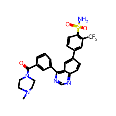 CN1CCN(C(=O)c2cccc(-c3ncnc4ccc(-c5ccc(S(N)(=O)=O)c(C(F)(F)F)c5)cc34)c2)CC1